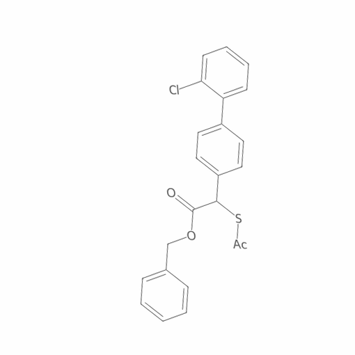 CC(=O)SC(C(=O)OCc1ccccc1)c1ccc(-c2ccccc2Cl)cc1